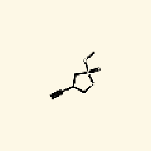 C#CC1COP(=S)(OC)C1